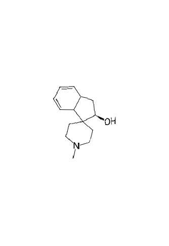 CN1CCC2(CC1)C1C=CC=CC1C[C@H]2O